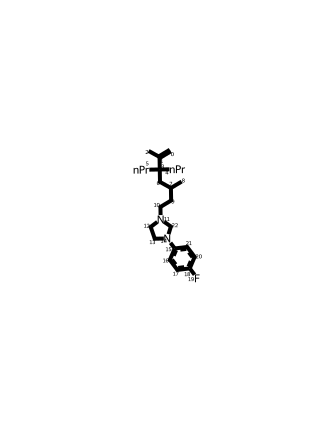 C=C(C)C(CCC)(CCC)CC(C)CCN1CCN(c2ccc(F)cc2)C1